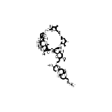 C=C1C[C@@H]2CC[C@@]34CC5O[C@H]6[C@@H](O3)[C@H]3O[C@H](CC[C@@H]3O[C@H]6[C@H]5O4)CC(=O)O[C@@H]3CC4OC(CC[C@@H]5O[C@@]6(CC[C@@H]5O)C[C@H](C)[C@@H]5OC(CN=[N+]=[N-])CC[C@@H]5O6)[C@H](OC)C[C@@H]4O[C@H]3CC3OC(CCC1O2)C[C@@H](C)C3=C